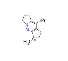 CC(C)c1c2c(nc3c1CC[C@H]3C)CCC2